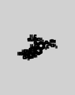 CC(C)(O)C1=CC[C@H]2C3=CC=C4CC(O[Si](C)(C)C(C)(C)C)CC(O[Si](C)(C)C(C)(C)C)[C@]4(C)[C@H]3CC[C@]12C